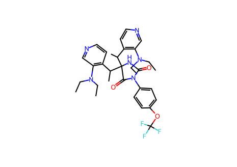 CCN(CC)c1cnccc1C(C)C1(C(C)c2ccncc2N(CC)CC)NC(=O)N(c2ccc(OC(F)(F)F)cc2)C1=O